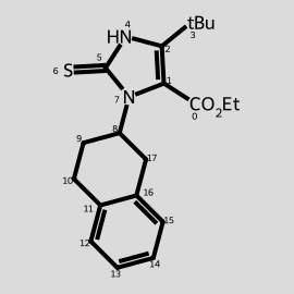 CCOC(=O)c1c(C(C)(C)C)[nH]c(=S)n1C1CCc2ccccc2C1